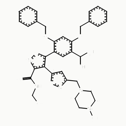 CCNC(=O)c1noc(-c2cc(C(C)C)c(OCc3ccccc3)cc2OCc2ccccc2)c1-c1cc(CN2CCN(C)CC2)no1